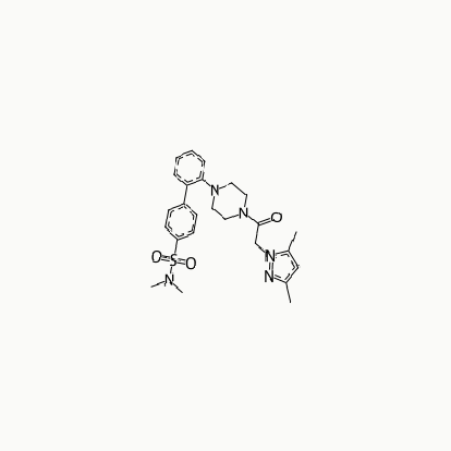 Cc1cc(C)n(CC(=O)N2CCN(c3ccccc3-c3ccc(S(=O)(=O)N(C)C)cc3)CC2)n1